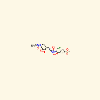 CONC(=O)c1ccc(/C=C/C(=O)NC(CF)C(O)c2ccc(S(C)(=O)=O)cc2)cc1O